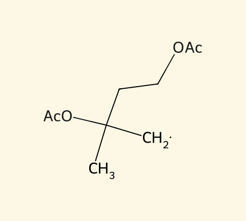 [CH2]C(C)(CCOC(C)=O)OC(C)=O